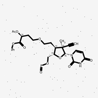 C#C[C@]1(C)[C@H](CCOCC[C@H](OC(C)=O)C(=O)OC(C)C)[C@@H](COP=O)O[C@H]1n1ccc(=O)[nH]c1=O